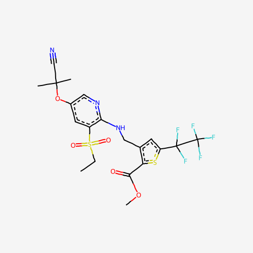 CCS(=O)(=O)c1cc(OC(C)(C)C#N)cnc1NCc1cc(C(F)(F)C(F)(F)F)sc1C(=O)OC